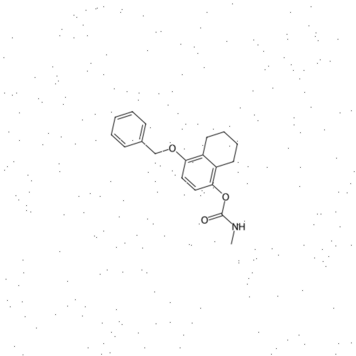 CNC(=O)Oc1ccc(OCc2ccccc2)c2c1CCCC2